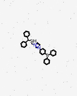 c1ccc(B(c2ccccc2)c2ccccc2)cc1.c1ccc(C([SiH2]Cn2ccnc2)c2ccccc2)cc1